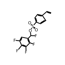 C=Cc1ccc(S(=O)(=O)OC(F)c2cc(F)c(F)c(F)c2F)cc1